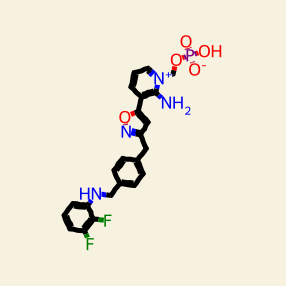 Nc1c(-c2cc(Cc3ccc(CNc4cccc(F)c4F)cc3)no2)ccc[n+]1COP(=O)([O-])O